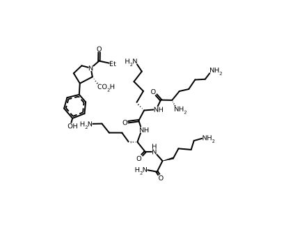 CCC(=O)N1CCC(c2ccc(O)cc2)[C@H]1C(=O)O.NCCCC[C@H](NC(=O)[C@H](CCCCN)NC(=O)[C@H](CCCCN)NC(=O)[C@@H](N)CCCCN)C(N)=O